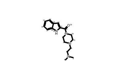 CN(C)CCN1CCN(C(=O)c2cc3ccccc3[nH]2)CC1